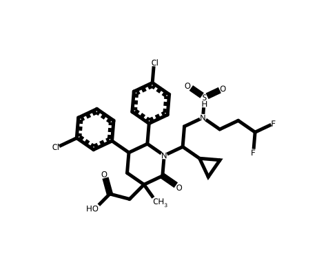 CC1(CC(=O)O)CC(c2cccc(Cl)c2)C(c2ccc(Cl)cc2)N(C(CN(CCC(F)F)[SH](=O)=O)C2CC2)C1=O